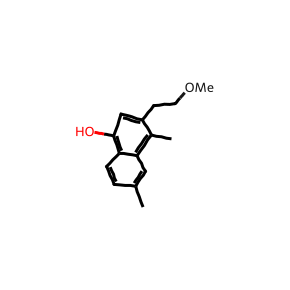 COCCc1cc(O)c2ccc(C)cc2c1C